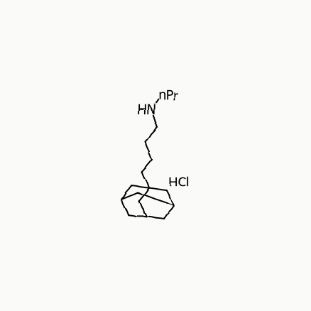 CCCNCCCCC12CC3CC(CC(C3)C1)C2.Cl